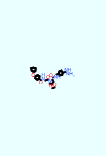 N=C(N)c1ccc(CNC(=O)[C@@H]2CC3(CN2C(=O)CNC(=O)c2ccc(Oc4ccccc4)cc2)OCCO3)cc1